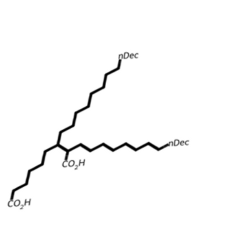 CCCCCCCCCCCCCCCCCCC(CCCCCC(=O)O)C(CCCCCCCCCCCCCCCCCC)C(=O)O